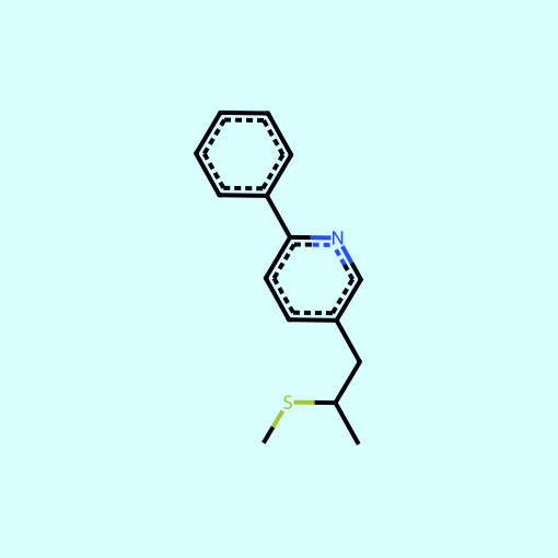 CSC(C)Cc1ccc(-c2ccccc2)nc1